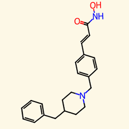 O=C(C=Cc1ccc(CN2CCC(Cc3ccccc3)CC2)cc1)NO